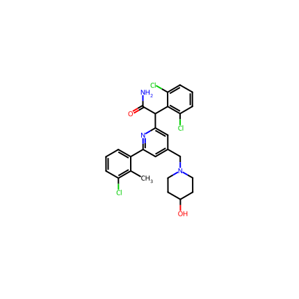 Cc1c(Cl)cccc1-c1cc(CN2CCC(O)CC2)cc(C(C(N)=O)c2c(Cl)cccc2Cl)n1